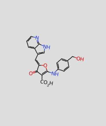 O=C(O)C1=C(Nc2ccc(CO)cc2)OC(=Cc2c[nH]c3ncccc23)C1=O